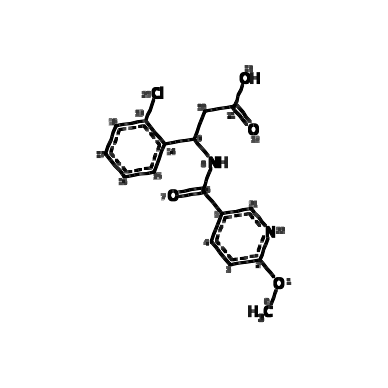 COc1ccc(C(=O)NC(CC(=O)O)c2ccccc2Cl)cn1